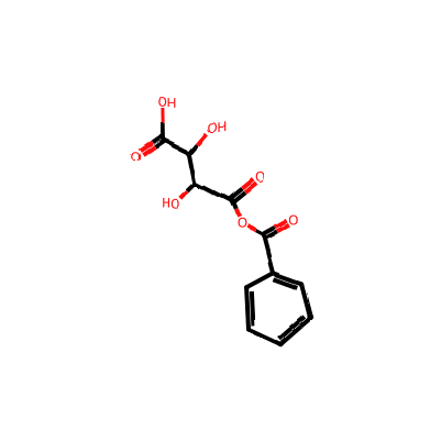 O=C(OC(=O)C(O)C(O)C(=O)O)c1ccccc1